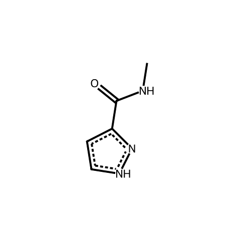 CNC(=O)c1cc[nH]n1